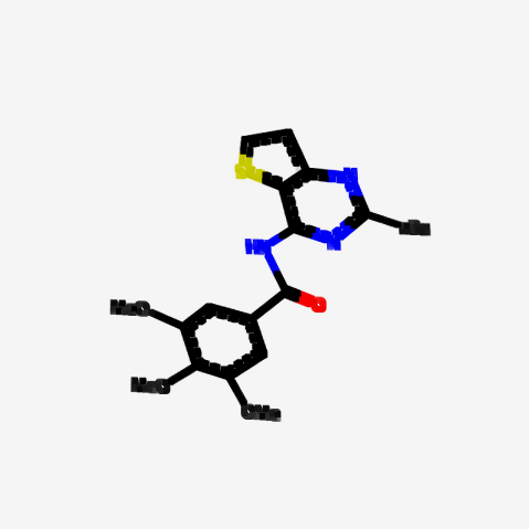 CCCCc1nc(NC(=O)c2cc(OC)c(OC)c(OC)c2)c2sccc2n1